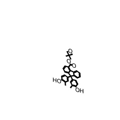 Cc1cc(C2(c3ccc(O)c(C)c3)c3ccccc3-c3c(C(=O)OCC4(C)COC4)cccc32)ccc1O